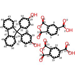 O=C(O)c1ccc2c(c1)C(=O)OC2=O.O=C(O)c1ccc2c(c1)C(=O)OC2=O.Oc1ccc(C2(c3ccc(O)cc3)c3ccccc3-c3ccccc32)cc1